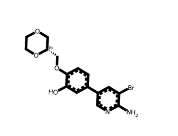 Nc1ncc(-c2ccc(OC[C@H]3COCCO3)c(O)c2)cc1Br